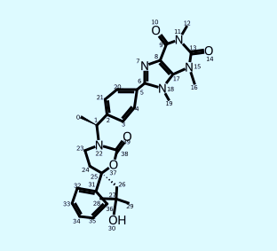 C[C@@H](c1ccc(-c2nc3c(=O)n(C)c(=O)n(C)c3n2C)cc1)N1CC[C@](CC(C)(C)O)(c2ccccc2)OC1=O